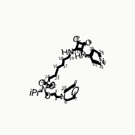 CC(C)N(OCCN1CCOCC1)S(=O)(=O)CCCCCCNc1c(Nc2ccncc2)c(=O)c1=O